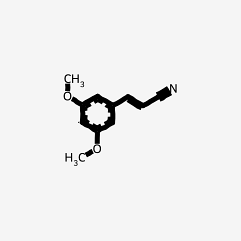 COc1[c]c(OC)cc(C=CC#N)c1